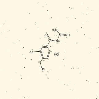 CC(=O)c1cc(C(=O)NC(=N)N)ccc1CC(C)C.Cl